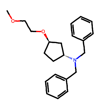 COCCO[C@@H]1CC[C@@H](N(Cc2ccccc2)Cc2ccccc2)C1